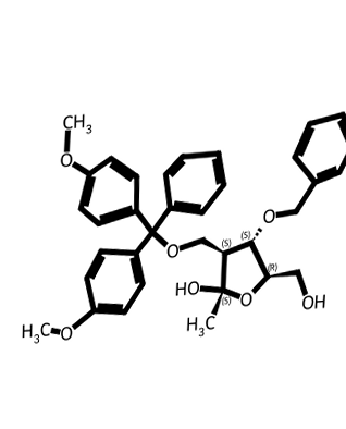 COc1ccc(C(OC[C@H]2[C@H](OCc3ccccc3)[C@@H](CO)O[C@]2(C)O)(c2ccccc2)c2ccc(OC)cc2)cc1